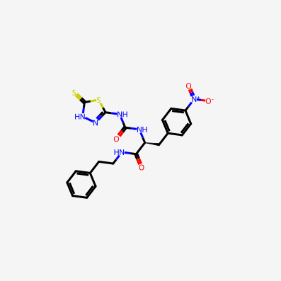 O=C(Nc1n[nH]c(=S)s1)N[C@@H](Cc1ccc([N+](=O)[O-])cc1)C(=O)NCCc1ccccc1